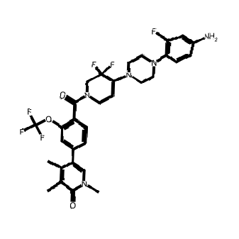 Cc1c(-c2ccc(C(=O)N3CCC(N4CCN(c5ccc(N)cc5F)CC4)C(F)(F)C3)c(OC(F)(F)F)c2)cn(C)c(=O)c1C